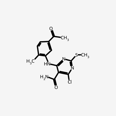 CSc1nc(Cl)c(C(N)=O)c(Nc2cc(C(C)=O)ccc2C)n1